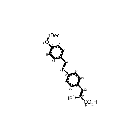 CCCCCCCCCCOc1ccc(C=Nc2ccc(C=C(C(=O)O)C(C)CC)cc2)cc1